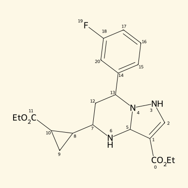 CCOC(=O)C1=CNN2C1NC(C1CC1C(=O)OCC)CC2c1cccc(F)c1